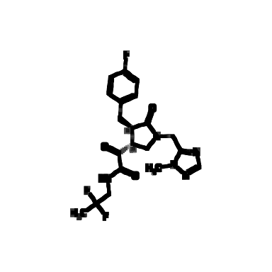 Cn1ncnc1CN1C[C@H](C(=O)C(=O)NCC(C)(F)F)[C@@H](Cc2ccc(F)cc2)C1=O